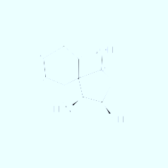 C[C@@H]1OC(O)C2(CCCCC2)[C@@H]1N